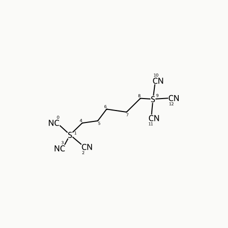 N#CS(C#N)(C#N)CCCCCS(C#N)(C#N)C#N